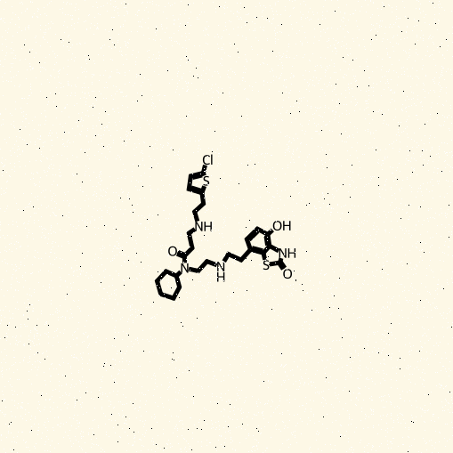 O=C(CCNCCc1ccc(Cl)s1)N(CCNCCc1ccc(O)c2[nH]c(=O)sc12)C1CCCCC1